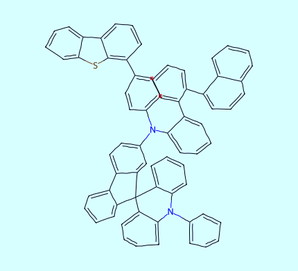 c1ccc(N2c3ccccc3C3(c4ccccc4-c4ccc(N(c5ccc(-c6cccc7c6sc6ccccc67)cc5)c5ccccc5-c5ccccc5-c5cccc6ccccc56)cc43)c3ccccc32)cc1